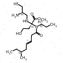 CC[C@H](C)C/C=C/CC(=O)N([C@H](C)CC)[C@](CCO)(NC[C@@H](N)CS)C(=O)O